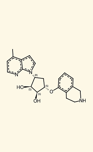 Cc1ccnc2c1ccn2[C@@H]1C[C@H](Oc2cccc3c2CCNC3)[C@@H](O)[C@H]1O